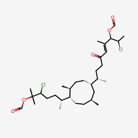 C/C(=C\C(=O)CC[C@H](C)[C@H]1CC[C@H](C)[C@@H]([C@H](C)CCC(Cl)C(C)(C)OC=O)CC[C@H](C)C1)C(OC=O)C(C)Cl